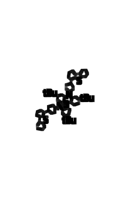 CC(C)(C)c1ccc2c(c1)N(c1ccc(-c3cccc4c3sc3ccccc34)cc1)c1cc(C(C)(C)C)cc3c1B2c1ccc(C(C)(C)C)cc1N3c1ccc(-c2cccc3c2sc2ccccc23)cc1